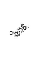 CCOC(=O)[C@H]1CC[C@H](c2cc(Cl)ccn2)CC1